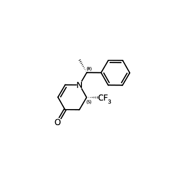 C[C@H](c1ccccc1)N1C=CC(=O)C[C@H]1C(F)(F)F